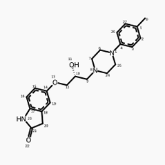 Cc1ccc(N2CCN(C[C@@H](O)COc3ccc4c(c3)CC(=O)N4)CC2)cc1